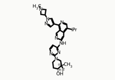 CC(C)c1cnc(-c2cnn(C3CN(C)C3)c2)c2cnc(Nc3ccnc(N4CC[C@@H](O)[C@@](C)(F)C4)n3)cc12